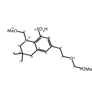 COCOCCc1cc2c(c(S(=O)(=O)O)c1)N(COC)CC(C)(C)C2